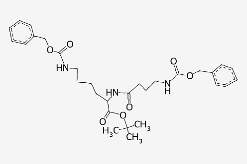 CC(C)(C)OC(=O)C(CCCCNC(=O)OCc1ccccc1)NC(=O)CCCNC(=O)OCc1ccccc1